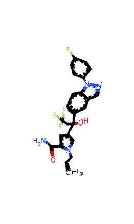 C=CCn1cc(C(O)(c2ccc3c(cnn3-c3ccc(F)cc3)c2)C(F)(F)F)cc1C(N)=O